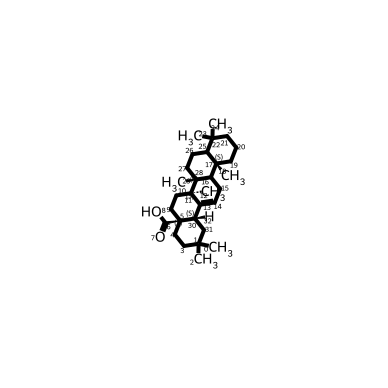 CC1(C)CC[C@]2(C(=O)O)CC[C@]3(C)C(=CCC4[C@@]5(C)CCCC(C)(C)C5CC[C@]43C)[C@@H]2C1